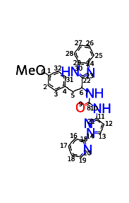 COc1ccc(CC(NC(=O)Nc2ccn(-c3ccccn3)n2)c2nc3ccccc3[nH]2)cc1